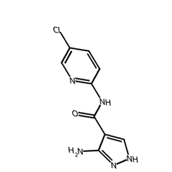 Nc1n[nH]cc1C(=O)Nc1ccc(Cl)cn1